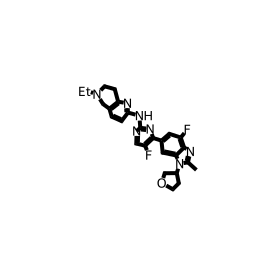 CCN1CCc2nc(Nc3ncc(F)c(-c4cc(F)c5nc(C)n(C6CCOC6)c5c4)n3)ccc2C1